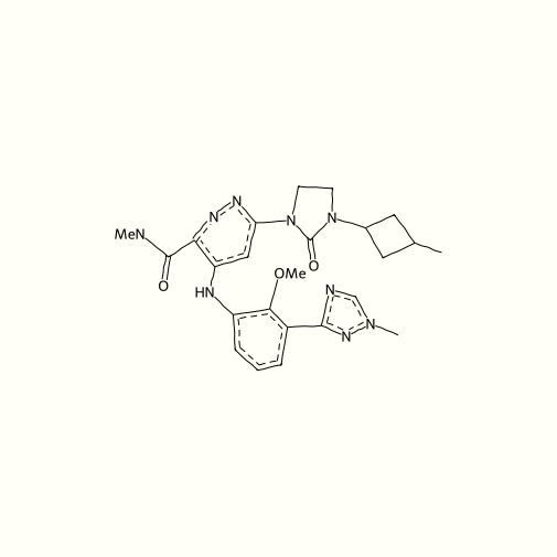 CNC(=O)c1nnc(N2CCN(C3CC(C)C3)C2=O)cc1Nc1cccc(-c2ncn(C)n2)c1OC